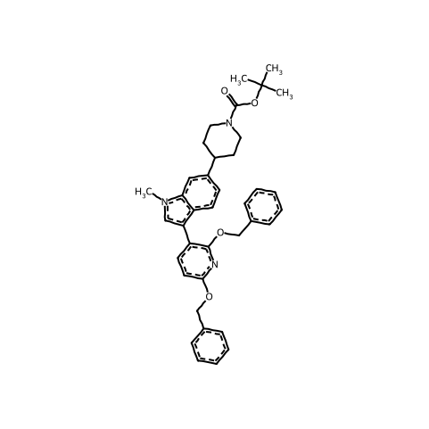 Cn1cc(-c2ccc(OCc3ccccc3)nc2OCc2ccccc2)c2ccc(C3CCN(C(=O)OC(C)(C)C)CC3)cc21